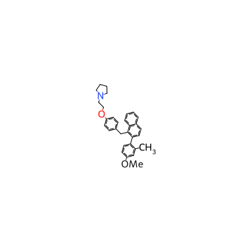 COc1ccc(-c2ccc3ccccc3c2Cc2ccc(OCCN3CCCC3)cc2)c(C)c1